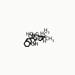 CC1([C@H](N)C(=O)N2C[C@H]3[C@@H]([C@H]2C(=O)O)C3(C)C)C=C2CCCC(O)(C2)C1